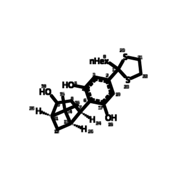 CCCCCCC1(c2cc(O)c([C@@H]3CC(O)[C@@H]4C[C@H]3C4(C)C)c(O)c2)SCCS1